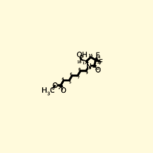 COC(=O)CCCCCCN1C(=O)C(F)(F)C[C@@H]1CO